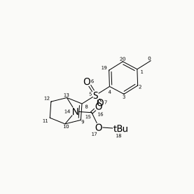 Cc1ccc(S(=O)(=O)C2=CC3CCC2N3C(=O)OC(C)(C)C)cc1